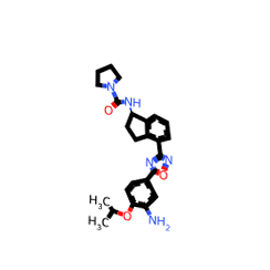 CC(C)Oc1ccc(-c2nc(-c3cccc4c3CC[C@@H]4NC(=O)N3CCCC3)no2)cc1N